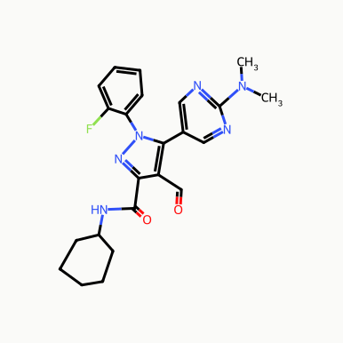 CN(C)c1ncc(-c2c(C=O)c(C(=O)NC3CCCCC3)nn2-c2ccccc2F)cn1